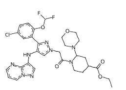 CCOC(=O)C1CCN(C(=O)Cn2cc(Nc3cnn4cccnc34)c(-c3cc(Cl)ccc3OC(F)F)n2)C(N2CCOCC2)C1